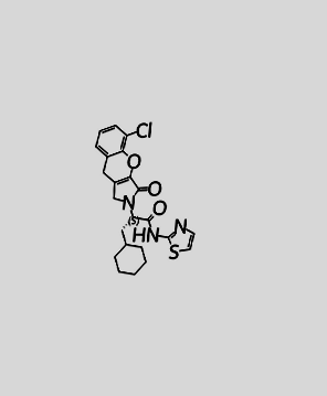 O=C(Nc1nccs1)[C@H](CC1CCCCC1)N1CC2=C(Oc3c(Cl)cccc3C2)C1=O